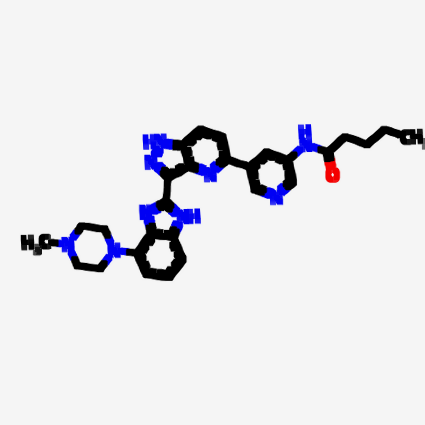 CCCCC(=O)Nc1cncc(-c2ccc3[nH]nc(-c4nc5c(N6CCN(C)CC6)cccc5[nH]4)c3n2)c1